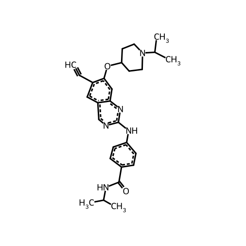 C#Cc1cc2cnc(Nc3ccc(C(=O)NC(C)C)cc3)nc2cc1OC1CCN(C(C)C)CC1